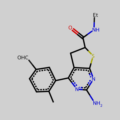 CCNC(=O)C1Cc2c(nc(N)nc2-c2cc(C=O)ccc2C)S1